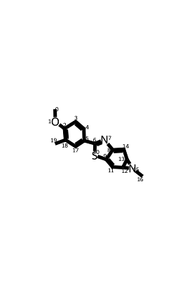 COc1ccc(-c2nc3c(s2)=CC2C(C=3)N2C)cc1C